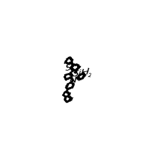 C1=Cc2c(sc3c4c(ccc23)[SiH2]C2=C4CCC=C2N(c2ccccc2)C2C=CC(c3ccc4ccccc4c3)=CC2)CC1